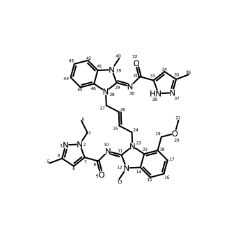 CCn1nc(C)cc1C(=O)/N=c1\n(C)c2cccc(COC)c2n1C/C=C/Cn1/c(=N/C(=O)c2cc(C)n[nH]2)n(C)c2ccccc21